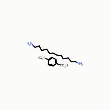 NCCCCCCCCCCCCN.O=C(O)c1ccc(C(=O)O)cc1